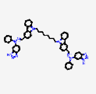 C(=N\N(c1ccccc1)c1ccc2nn[nH]c2c1)/c1ccc2c(c1)c1ccccc1n2CCCCCCCCn1c2ccccc2c2cc(/C=N/N(c3ccccc3)c3ccc4nn[nH]c4c3)ccc21